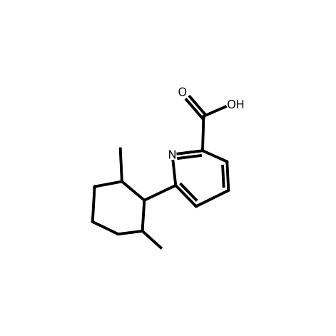 CC1CCCC(C)C1c1cccc(C(=O)O)n1